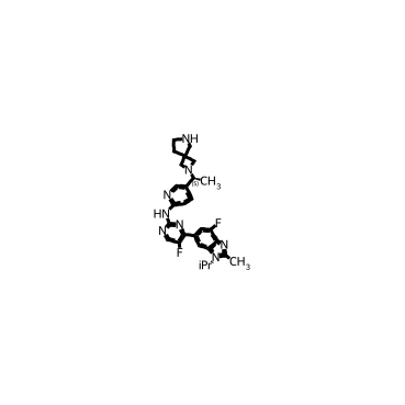 Cc1nc2c(F)cc(-c3nc(Nc4ccc([C@H](C)N5CC6(CCNC6)C5)cn4)ncc3F)cc2n1C(C)C